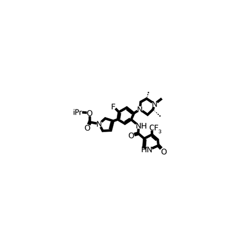 CC(C)OC(=O)N1CC=C(c2cc(NC(=O)c3c[nH]c(=O)cc3C(F)(F)F)c(N3C[C@@H](C)N(C)[C@@H](C)C3)cc2F)C1